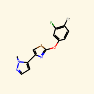 CCc1ccc(Oc2nc(-c3ccnn3C)cs2)cc1F